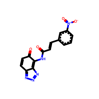 O=C(C=Cc1cccc([N+](=O)[O-])c1)NC1=C2N=NN=C2C=CC1=O